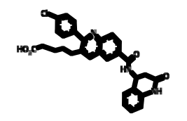 O=C(O)CCCCc1cc2cc(C(=O)NC3CC(=O)Nc4ccccc43)ccc2nc1-c1ccc(Cl)cc1